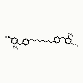 Cc1cc(N)ccc1Cc1ccc(CCCCCCCCc2ccc(Cc3ccc(N)cc3C)cc2)cc1